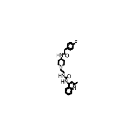 Cc1cc(NC(=O)NCCN2CCC(NC(=O)Cc3ccc(F)cc3)CC2)c2ccccc2n1